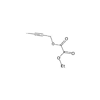 CC#CCOC(=O)C(=O)OCC